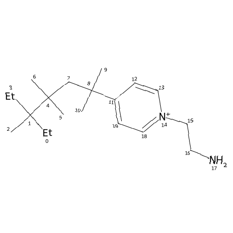 CCC(C)(CC)C(C)(C)CC(C)(C)c1cc[n+](CCN)cc1